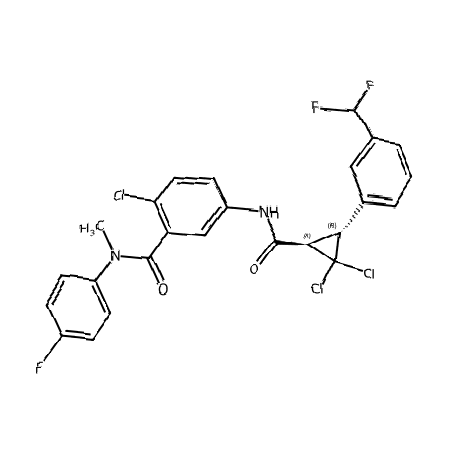 CN(C(=O)c1cc(NC(=O)[C@H]2[C@H](c3cccc(C(F)F)c3)C2(Cl)Cl)ccc1Cl)c1ccc(F)cc1